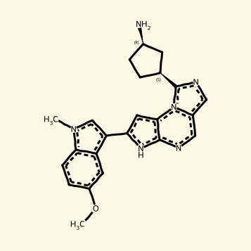 COc1ccc2c(c1)c(-c1cc3c(ncc4cnc([C@H]5CC[C@@H](N)C5)n43)[nH]1)cn2C